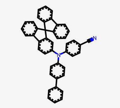 N#Cc1ccc(N(c2ccc(-c3ccccc3)cc2)c2ccc3c(c2)C2(c4ccccc4-c4ccccc42)c2ccccc2-3)cc1